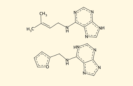 CC(C)=CCNc1ncnc2[nH]cnc12.c1coc(CNc2[nH]cnc3ncnc2-3)c1